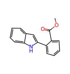 COC(=O)c1ccccc1-c1cc2ccccc2[nH]1